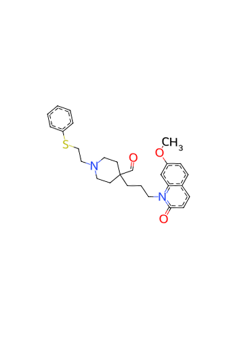 COc1ccc2ccc(=O)n(CCCC3(C=O)CCN(CCSc4ccccc4)CC3)c2c1